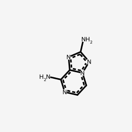 Nc1nc2c(N)nccn2n1